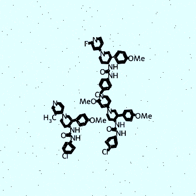 COc1ccc(C2CN(c3ccnc(OC)c3)CCC2NC(=O)Nc2ccc(Cl)cc2)cc1.COc1ccc(C2CN(c3ccncc3C)CCC2NC(=O)Nc2ccc(Cl)cc2)cc1.COc1ccc([C@@H]2CN(c3ccnc(F)c3)CC[C@H]2NC(=O)Nc2ccc(Cl)cc2)cc1